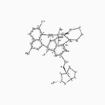 COc1nc(-c2cc(O)cc3ccc(F)c(C#C[Si](C(C)C)(C(C)C)C(C)C)c23)c(F)c2nc(OC[C@@]34CCCN3C[C@H](F)C4)nc(N3CCCCC3)c12